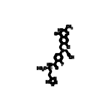 C#CCN(Cc1cc2c(=O)[nH]c(C)nc2cc1Cl)c1ccc(C(=O)N[C@@H](CCc2nnn[nH]2)C(=O)O)c(F)c1